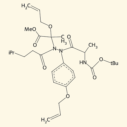 C=CCOc1ccc(N(C(=O)C(C)NC(=O)OC(C)(C)C)N(C(=O)CCC(C)C)C(C)(OCC=C)C(=O)OC)cc1